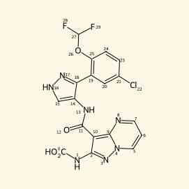 O=C(O)Nc1nn2cccnc2c1C(=O)Nc1c[nH]nc1-c1cc(Cl)ccc1OC(F)F